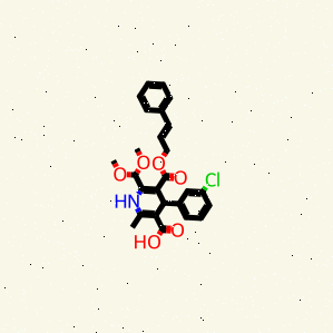 COC(OC)C1=C(C(=O)OCC=Cc2ccccc2)C(c2cccc(Cl)c2)C(C(=O)O)=C(C)N1